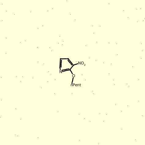 CCCCCOc1ncccc1[N+](=O)[O-]